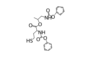 CC(CNC(=O)Oc1ccccc1)OC(=O)C(CCS)NC(=O)Oc1ccccc1